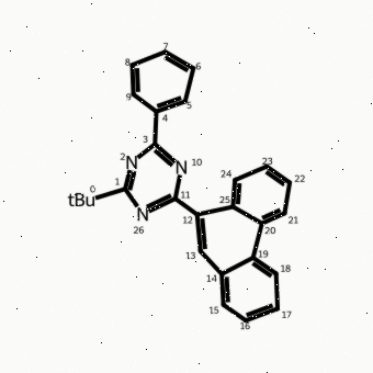 CC(C)(C)c1nc(-c2ccccc2)nc(-c2cc3ccccc3c3ccccc23)n1